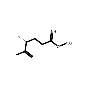 C=C(C)[C@H](C)CCC(=N)OC(C)(C)C